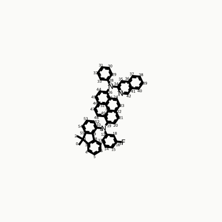 CC1(C)c2ccccc2-c2c(N(c3cccc(F)c3)c3ccc4ccc5c(N(c6ccccc6)c6cc7ccccc7cn6)ccc6ccc3c4c65)cccc21